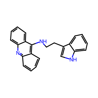 c1ccc2c(NCCc3c[nH]c4ccccc34)c3ccccc3nc2c1